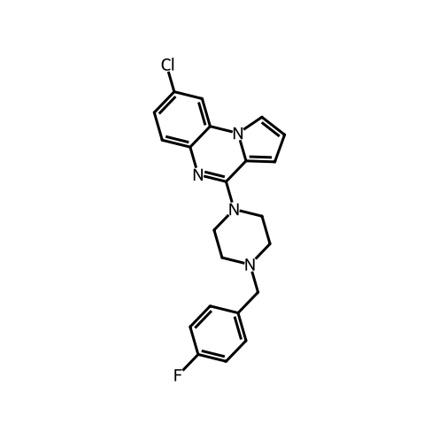 Fc1ccc(CN2CCN(c3nc4ccc(Cl)cc4n4cccc34)CC2)cc1